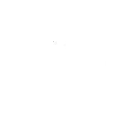 ON=C(CCCc1ccc(Cl)c(Cl)c1)c1ccccc1